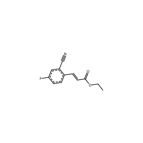 CCOC(=O)C=Cc1c[c]c(F)cc1C#N